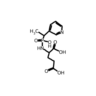 CC(c1cccnc1)P(=O)(O)NC(CCC(=O)O)C(=O)O